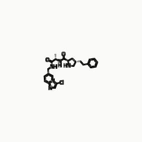 C[C@H](NC(=O)[C@H]1C[C@H](CCc2ccccc2)CN1)C(=O)NCc1ccc2ncc(Cl)n2c1